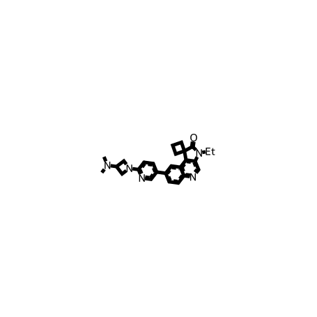 CCN1C(=O)C2(CCC2)c2c1cnc1ccc(-c3ccc(N4CC(N(C)C)C4)nc3)cc21